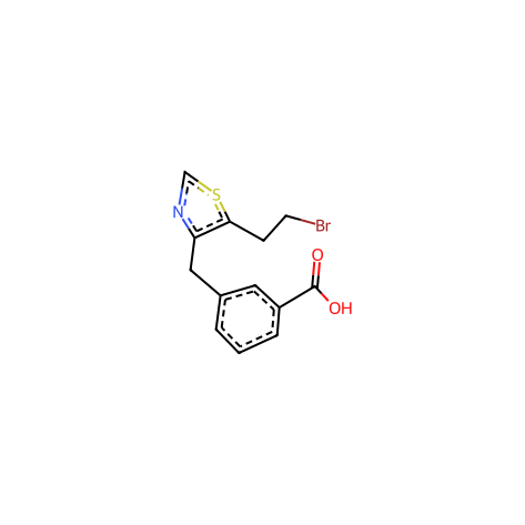 O=C(O)c1cccc(Cc2ncsc2CCBr)c1